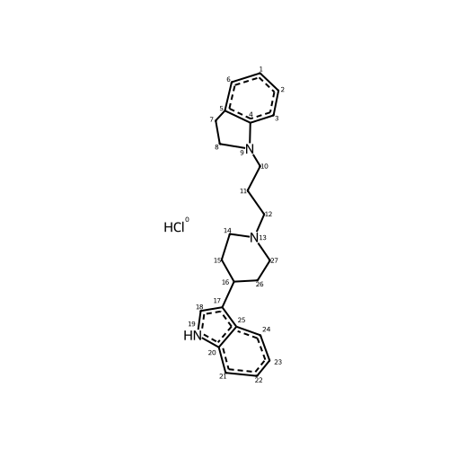 Cl.c1ccc2c(c1)CCN2CCCN1CCC(c2c[nH]c3ccccc23)CC1